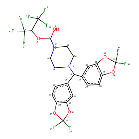 OC(OC(C(F)(F)F)C(F)(F)F)N1CCN(C(c2ccc3c(c2)OC(F)(F)O3)c2ccc3c(c2)OC(F)(F)O3)CC1